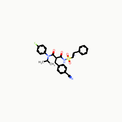 CC(C)N(C(=O)C(Cc1ccc(C#N)cc1)C(=O)NS(=O)(=O)/C=C/c1ccccc1)c1ccc(F)cc1